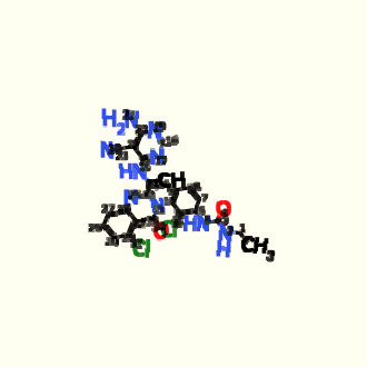 CCNC(=O)Nc1cccc(-n2c([C@H](C)Nc3ncnc(N)c3C#N)nc3cccc(Cl)c3c2=O)c1Cl